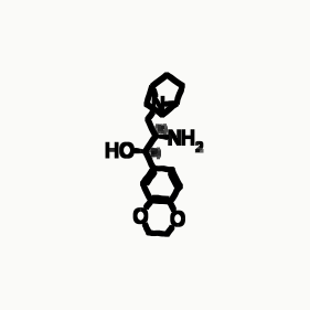 N[C@H](CN1C2CCC1CC2)[C@H](O)c1ccc2c(c1)OCCO2